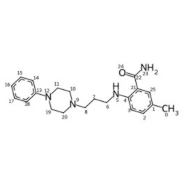 Cc1ccc(NCCCN2CCN(c3ccccc3)CC2)c(C(N)=O)c1